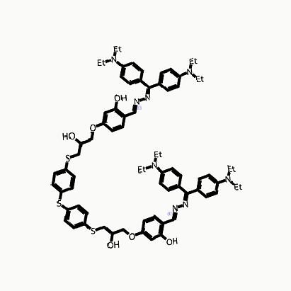 CCN(CC)c1ccc(C(=N/N=C/c2ccc(OCC(O)CSc3ccc(Sc4ccc(SCC(O)COc5ccc(/C=N/N=C(c6ccc(N(CC)CC)cc6)c6ccc(N(CC)CC)cc6)c(O)c5)cc4)cc3)cc2O)c2ccc(N(CC)CC)cc2)cc1